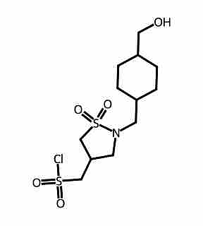 O=S(=O)(Cl)CC1CN(CC2CCC(CO)CC2)S(=O)(=O)C1